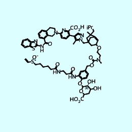 C=C[S+]([O-])CCCCCC(=O)NCCC(=O)Nc1cc(COC(=O)N(C)CCOC2C=C3CC(Cn4ncc(-c5ccc(N6CCc7cccc(C(=O)Nc8nc9ccccc9s8)c7C6)nc5C(=O)O)c4C)(C2)CC3(C)CC(C)C)ccc1OC1OC(C(=O)O)CC(O)[C@H]1O